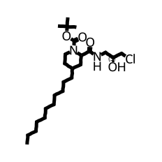 CCCCCCCCCCCC1CCN(C(=O)OC(C)(C)C)C(C(=O)NC[C@H](O)CCl)C1